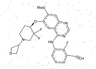 C#Cc1cccc(Nc2ncnc3cc(OC)c(O[C@@H]4CCN(C5COC5)CC4(F)F)cc23)c1F